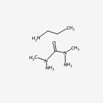 CCCN.CN(N)C(=O)N(C)N